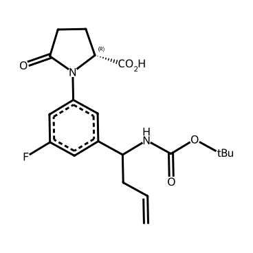 C=CCC(NC(=O)OC(C)(C)C)c1cc(F)cc(N2C(=O)CC[C@@H]2C(=O)O)c1